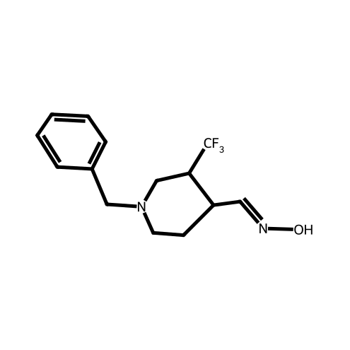 ON=CC1CCN(Cc2ccccc2)CC1C(F)(F)F